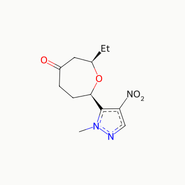 CC[C@@H]1CC(=O)CC[C@H](c2c([N+](=O)[O-])cnn2C)O1